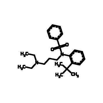 CCN(CC)CCCN(c1ccccc1C(C)(C)C)S(=O)(=O)c1ccccc1